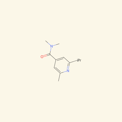 Cc1cc(C(=O)N(C)C)cc(C(C)C)n1